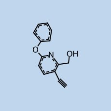 C#Cc1ccc(Oc2ccccc2)nc1CO